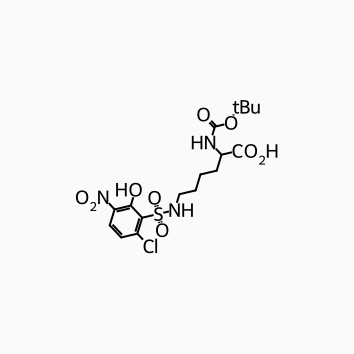 CC(C)(C)OC(=O)NC(CCCCNS(=O)(=O)c1c(Cl)ccc([N+](=O)[O-])c1O)C(=O)O